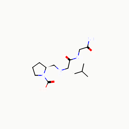 CC(C)C[C@H](NC[C@@H]1CCCN1C(=O)O)C(=O)NCC(N)=O